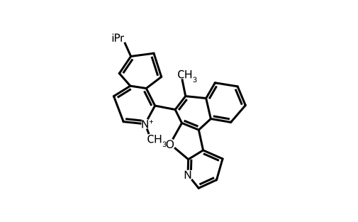 Cc1c(-c2c3ccc(C(C)C)cc3cc[n+]2C)c2oc3ncccc3c2c2ccccc12